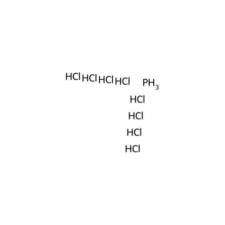 Cl.Cl.Cl.Cl.Cl.Cl.Cl.Cl.P